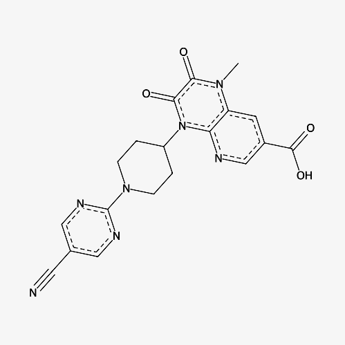 Cn1c(=O)c(=O)n(C2CCN(c3ncc(C#N)cn3)CC2)c2ncc(C(=O)O)cc21